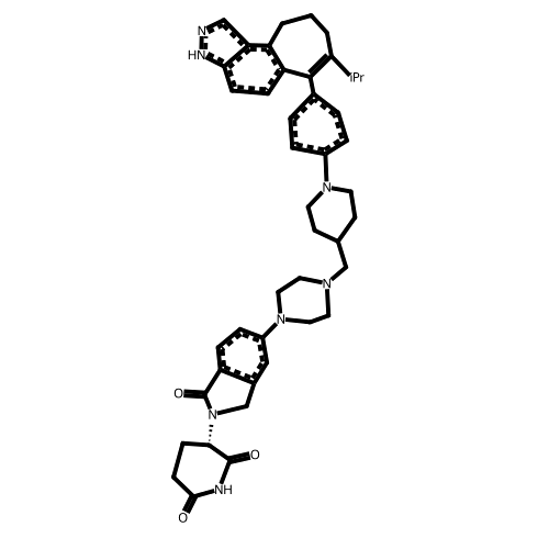 CC(C)C1=C(c2ccc(N3CCC(CN4CCN(c5ccc6c(c5)CN([C@H]5CCC(=O)NC5=O)C6=O)CC4)CC3)cc2)c2ccc3[nH]ncc3c2CCC1